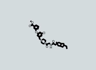 CCC1CC2CC(C)(CC(=O)NCC(=O)N3CCN(Cc4cc(Cl)cc(Oc5cccc(C(=O)OC)c5)c4)CC3)CC2C1